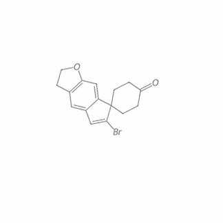 O=C1CCC2(CC1)C(Br)=Cc1cc3c(cc12)OCC3